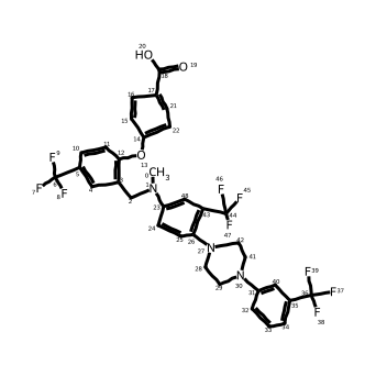 CN(Cc1cc(C(F)(F)F)ccc1Oc1ccc(C(=O)O)cc1)c1ccc(N2CCN(c3cccc(C(F)(F)F)c3)CC2)c(C(F)(F)F)c1